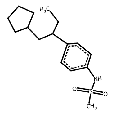 CCC(CC1CCCC1)c1ccc(NS(C)(=O)=O)cc1